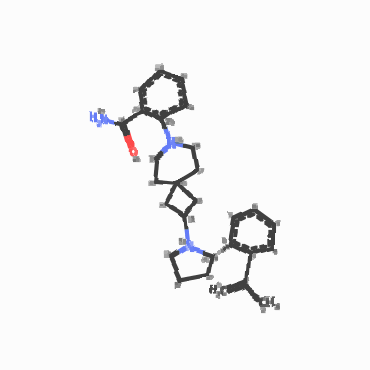 C=C(C)c1ccccc1[C@@H]1CCCN1C1CC2(CCN(c3ccccc3C(N)=O)CC2)C1